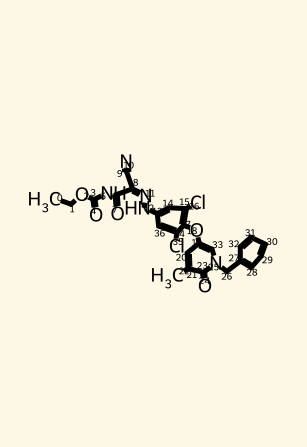 CCOC(=O)NC(=O)C(C#N)=NNc1cc(Cl)c(Oc2cc(C)c(=O)n(Cc3ccccc3)c2)c(Cl)c1